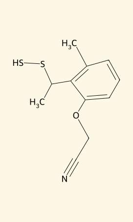 Cc1cccc(OCC#N)c1C(C)SS